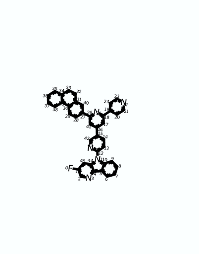 Fc1cnc2c3ccccc3n(-c3ccc(-c4cc(-c5ccncc5)nc(-c5ccc6c(ccc7ccccc76)c5)c4)cn3)c2c1